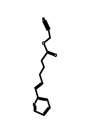 N#CCOC(=O)CCCC=Cc1ccccn1